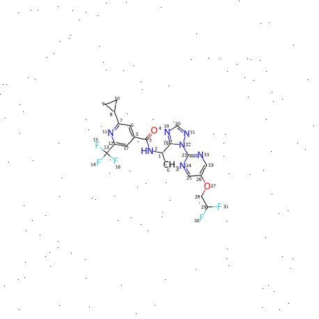 CC(NC(=O)c1cc(C2CC2)nc(C(F)(F)F)c1)c1ncnn1-c1ncc(OCC(F)F)cn1